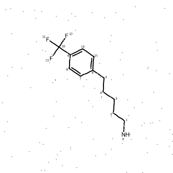 [NH]CCCCCc1ccc(C(F)(F)F)cc1